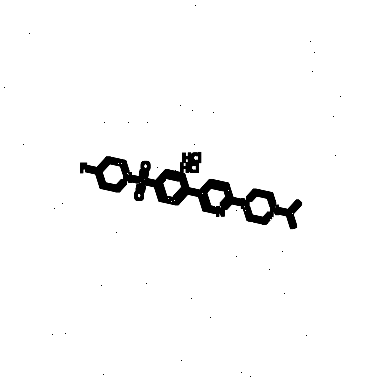 CC(C)N1CCN(c2ccc(-c3ccc(S(=O)(=O)N4CCC(F)CC4)cc3)cn2)CC1.Cl.Cl